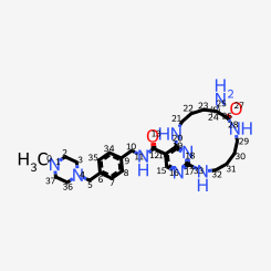 CN1CCN(Cc2ccc(CNC(=O)c3cnc4nc3NCCC[C@H](N)C(=O)NCCCCN4)cc2)CC1